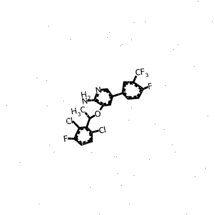 CC(Oc1cc(-c2ccc(F)c(C(F)(F)F)c2)cnc1N)c1c(Cl)ccc(F)c1Cl